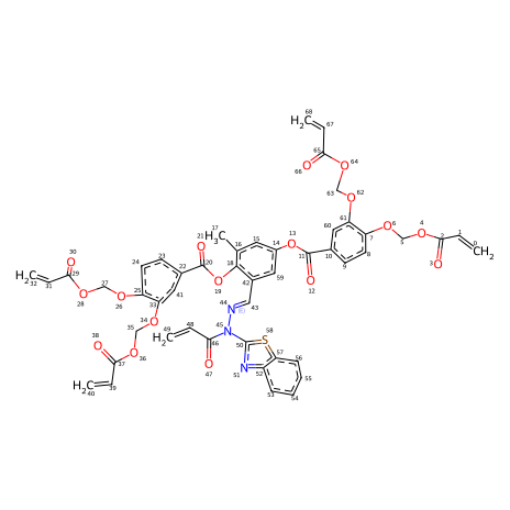 C=CC(=O)OCOc1ccc(C(=O)Oc2cc(C)c(OC(=O)c3ccc(OCOC(=O)C=C)c(OCOC(=O)C=C)c3)c(/C=N/N(C(=O)C=C)c3nc4ccccc4s3)c2)cc1OCOC(=O)C=C